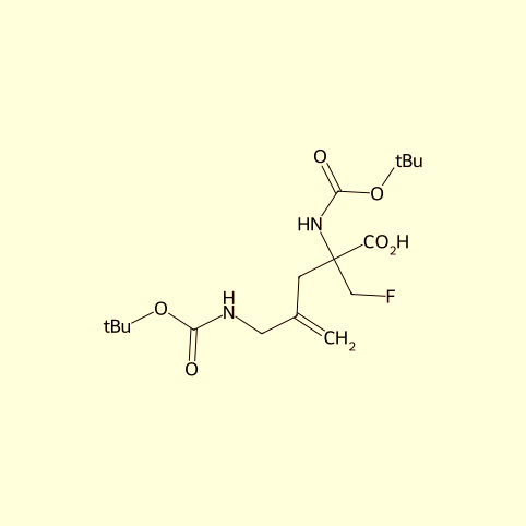 C=C(CNC(=O)OC(C)(C)C)CC(CF)(NC(=O)OC(C)(C)C)C(=O)O